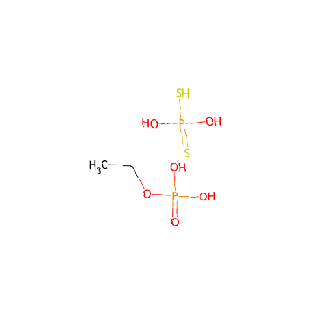 CCOP(=O)(O)O.OP(O)(=S)S